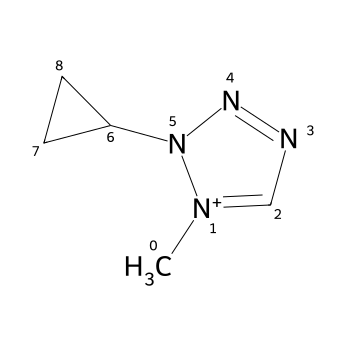 C[n+]1cnnn1C1CC1